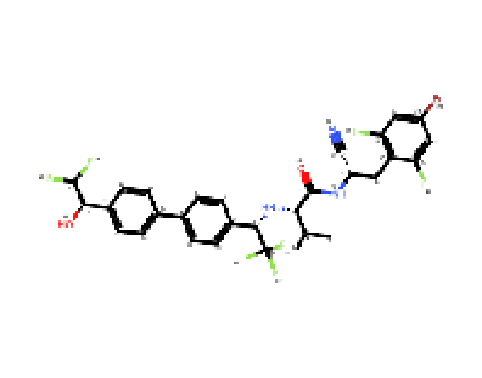 CC(C)[C@H](N[C@@H](c1ccc(-c2ccc([C@@H](O)C(F)F)cc2)cc1)C(F)(F)F)C(=O)N[C@H](C#N)Cc1c(F)cc(Br)cc1F